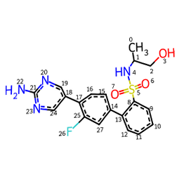 CC(CO)NS(=O)(=O)c1ccccc1-c1ccc(-c2cnc(N)nc2)c(F)c1